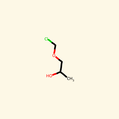 CC(O)COCCl